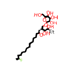 C=C(F)CCCCCCCCCCCC(=O)C[C@@H](COC1OC(CO)C(O)C(O)C1O)[C@H](O)[C@H](O)CC